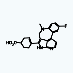 CN1Cc2c(C3=CCC(C(=O)O)CC3)[nH]c3nccc(c23)-c2cc(F)ccc21